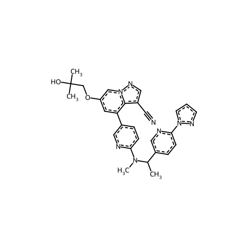 CC(c1ccc(-n2cccn2)nc1)N(C)c1ccc(-c2cc(OCC(C)(C)O)cn3ncc(C#N)c23)cn1